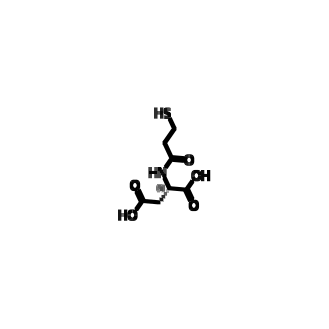 O=C(O)C[C@H](NC(=O)CCS)C(=O)O